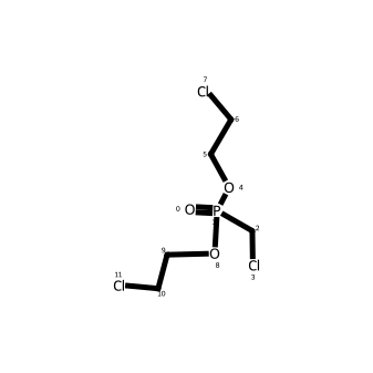 O=P(CCl)(OCCCl)OCCCl